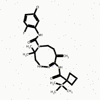 C=C1CCN(C(=O)Nc2cc(Cl)ccc2F)C(C)(C)CN/N=C\1NC(=O)C1(S(C)(C)C)CCC1